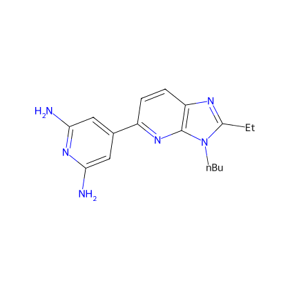 CCCCn1c(CC)nc2ccc(-c3cc(N)nc(N)c3)nc21